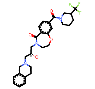 O=C(c1ccc2c(c1)OCCN(C[C@H](O)CN1CCc3ccccc3C1)C2=O)N1CCCC(C(F)(F)F)C1